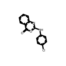 O=c1oc(Nc2ccc(Cl)cc2)nc2ccccc12